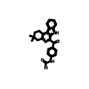 CCC(=O)Nc1ccc(C(=O)c2nc3c(c4c2[nH]c2ccccc24)CCC(C)(C)C3)cc1